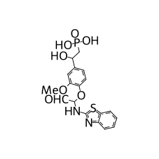 COc1cc(C(O)CP(=O)(O)O)ccc1OC(C=O)Nc1nc2ccccc2s1